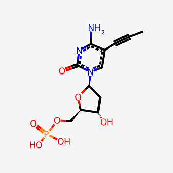 CC#Cc1cn([C@H]2C[C@H](O)[C@@H](COP(=O)(O)O)O2)c(=O)nc1N